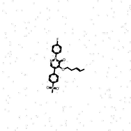 CC=CCCOc1c(-c2ccc(S(C)(=O)=O)cc2)cnn(-c2ccc(F)cc2)c1=O